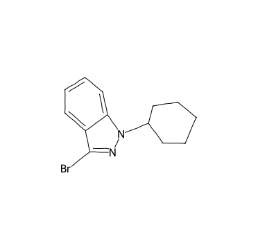 Brc1nn(C2CCCCC2)c2ccccc12